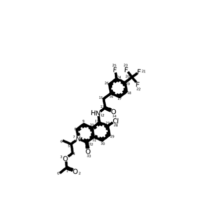 CC(=O)OCC(C)n1ccc2c(NC(=O)Cc3ccc(C(F)(F)F)c(F)c3)c(Cl)ccc2c1=O